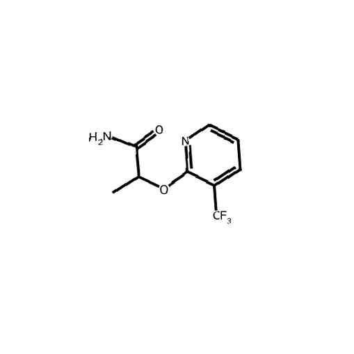 CC(Oc1ncccc1C(F)(F)F)C(N)=O